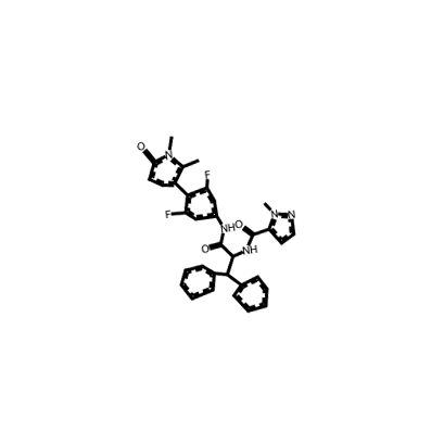 Cc1c(-c2c(F)cc(NC(=O)C(NC(=O)c3ccnn3C)C(c3ccccc3)c3ccccc3)cc2F)ccc(=O)n1C